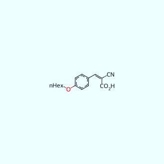 CCCCCCOc1ccc(C=C(C#N)C(=O)O)cc1